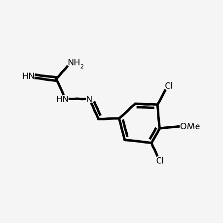 COc1c(Cl)cc(C=NNC(=N)N)cc1Cl